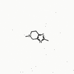 Cc1nc2c(s1)CCN(C)C2